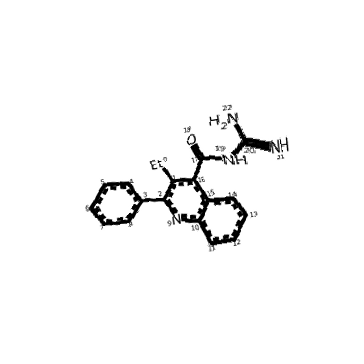 CCc1c(-c2ccccc2)nc2ccccc2c1C(=O)NC(=N)N